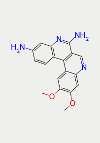 COc1cc2ncc3c(N)nc4cc(N)ccc4c3c2cc1OC